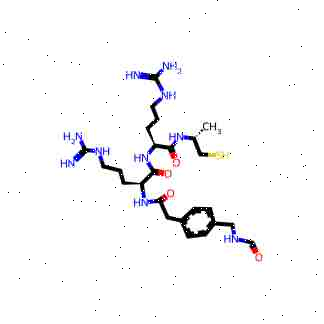 C[C@H](CS)NC(=O)[C@H](CCCNC(=N)N)NC(=O)[C@H](CCCNC(=N)N)NC(=O)Cc1ccc(CNC=O)cc1